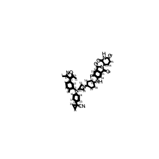 Cc1ccc(-c2c(C)noc2C)cc1N(c1ccc(C2(C#N)CC2)cc1)C1CN(C2CCC(Nc3cc4c(cc3F)C(=O)N(C3CCC(=O)NC3=O)C4=O)CC2)C1